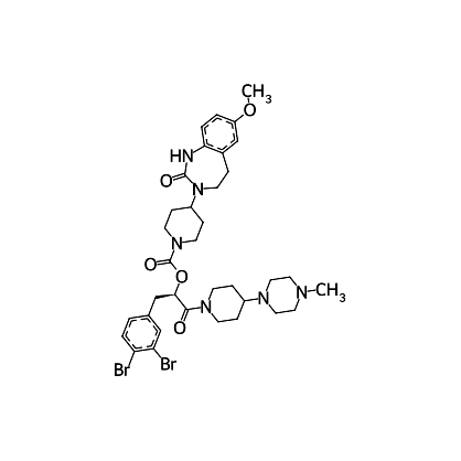 COc1ccc2c(c1)CCN(C1CCN(C(=O)O[C@H](Cc3ccc(Br)c(Br)c3)C(=O)N3CCC(N4CCN(C)CC4)CC3)CC1)C(=O)N2